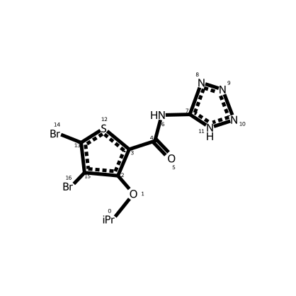 CC(C)Oc1c(C(=O)Nc2nnn[nH]2)sc(Br)c1Br